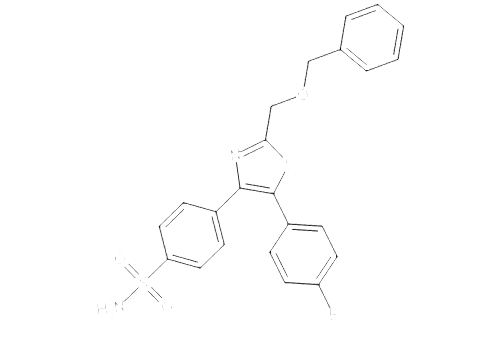 NS(=O)(=O)c1ccc(-c2nc(COCc3ccccc3)sc2-c2ccc(F)cc2)cc1